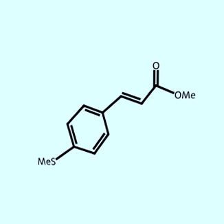 COC(=O)C=Cc1ccc(SC)cc1